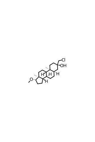 CO[C@H]1CC[C@H]2[C@@H]3CC[C@@H]4C[C@@](O)(CCl)CC[C@]4(C)[C@H]3CC[C@]12C